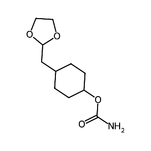 NC(=O)OC1CCC(CC2OCCO2)CC1